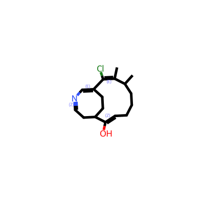 C/C1=C(Cl)/C2=C/N=C\CC(CC2)/C(O)=C/CCCC1C